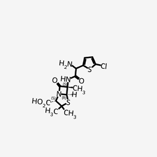 CC1(C)S[C@H]2N(C(=O)[C@]2(C)NC(=O)C(N)c2ccc(Cl)s2)[C@H]1C(=O)O